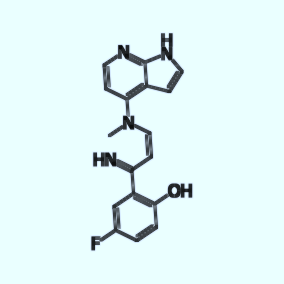 CN(/C=C\C(=N)c1cc(F)ccc1O)c1ccnc2[nH]ccc12